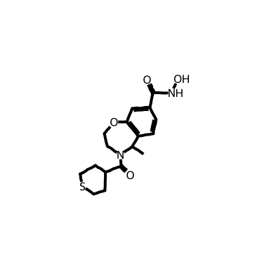 CC1c2ccc(C(=O)NO)cc2OCCN1C(=O)C1CCSCC1